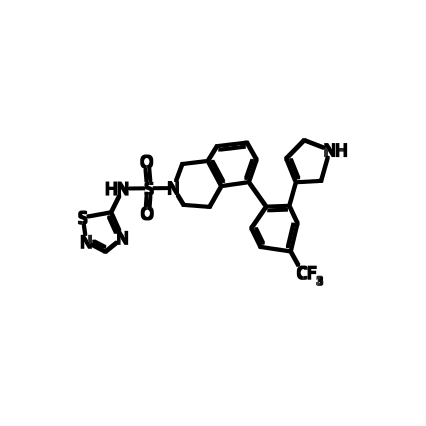 O=S(=O)(Nc1ncns1)N1CCc2c(cccc2-c2ccc(C(F)(F)F)cc2C2=CCNC2)C1